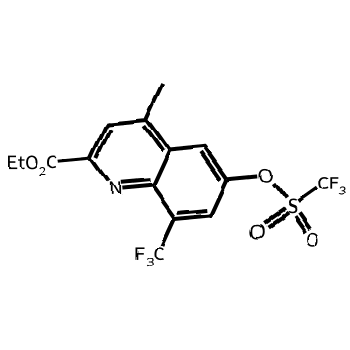 CCOC(=O)c1cc(C)c2cc(OS(=O)(=O)C(F)(F)F)cc(C(F)(F)F)c2n1